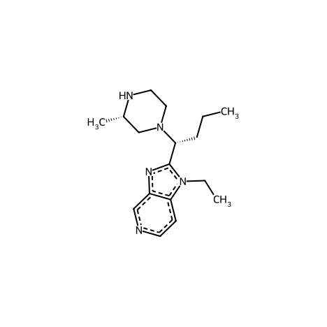 CCC[C@H](c1nc2cnccc2n1CC)N1CCN[C@@H](C)C1